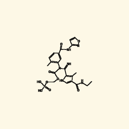 CCNC(=O)c1c[nH]c(C(=N)N(C(=O)OCOP(=O)(O)O)c2cc(C(=O)Nc3ccon3)ccc2C)c1C